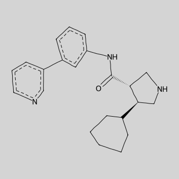 O=C(Nc1cccc(-c2cccnc2)c1)[C@@H]1CNC[C@H]1C1CCCCC1